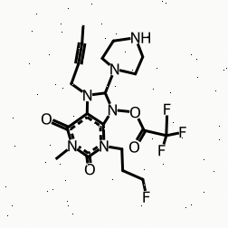 CC#CCN1c2c(n(CCCF)c(=O)n(C)c2=O)N(OC(=O)C(F)(F)F)C1N1CCNCC1